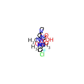 CN(C)C(=O)C(=O)N(C)C12CCC(N3CCCC3)(CC1)Cn1c2nc(C(=O)NCc2cccc(Cl)c2F)c(O)c1=O